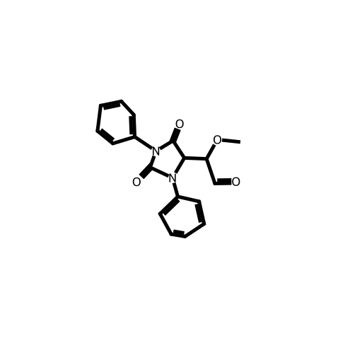 COC(C=O)C1C(=O)N(c2ccccc2)C(=O)N1c1ccccc1